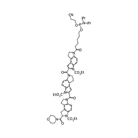 CCOC(=O)N1c2ccc3c(c2CC1C(=O)N1CCOCC1)CCN3C(=O)c1cc2c3c(ccc2n1C(=O)OCC)N(C(=O)c1cc2c4c(ccc2n1C(=O)OCC)N(C(=O)CCCCCOP(OCCC#N)N(C(C)C)C(C)C)CC4)CC3